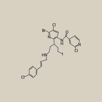 O=C(Nc1cc(Cl)c(Br)nc1C(CCI)CCNC/C=C/c1ccc(Cl)cc1)c1ccnc(Cl)c1